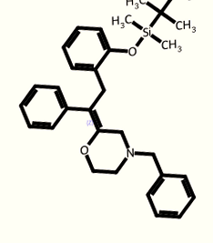 CC(C)(C)[Si](C)(C)Oc1ccccc1C/C(=C1\CN(Cc2ccccc2)CCO1)c1ccccc1